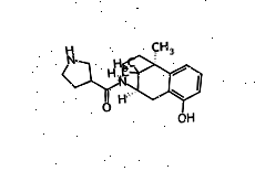 CC1(C)[C@H]2Cc3c(O)cccc3[C@]1(C)CCN2C(=O)C1CCNC1